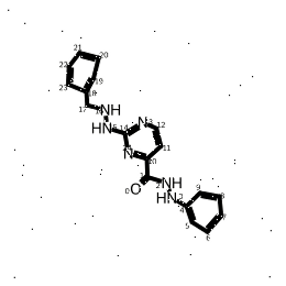 O=C(NNc1ccccc1)c1ccnc(NNCc2ccccc2)n1